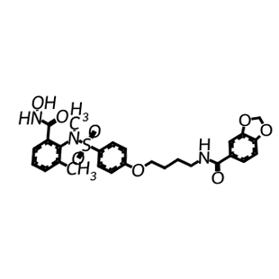 Cc1cccc(C(=O)NO)c1N(C)S(=O)(=O)c1ccc(OCCCCNC(=O)c2ccc3c(c2)OCO3)cc1